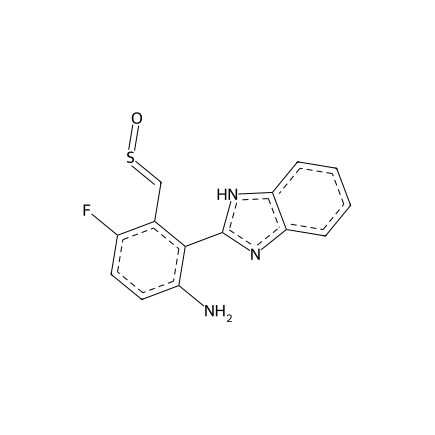 Nc1ccc(F)c(C=S=O)c1-c1nc2ccccc2[nH]1